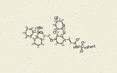 CCCCCS(=O)(=O)NC(=O)/C=C/c1ccc(OCCO[Si](c2ccccc2)(c2ccccc2)C(C)(C)C)cc1Oc1ncc(C(F)(F)F)cc1Cl